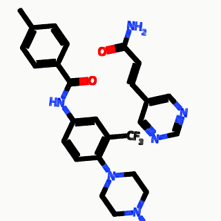 Cc1ccc(C(=O)Nc2ccc(N3CCN(C)CC3)c(C(F)(F)F)c2)cc1.NC(=O)C=Cc1cncnc1